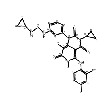 Cc1ccc(Nc2c3c(=O)n(C4CC4)c(=O)n(-c4cccc(NSNC5CC5)c4)c3c(C)c(=O)n2C)c(F)c1